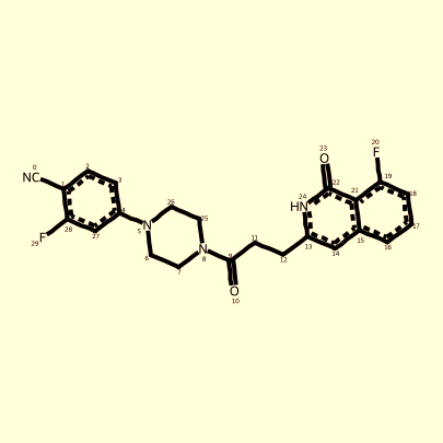 N#Cc1ccc(N2CCN(C(=O)CCc3cc4cccc(F)c4c(=O)[nH]3)CC2)cc1F